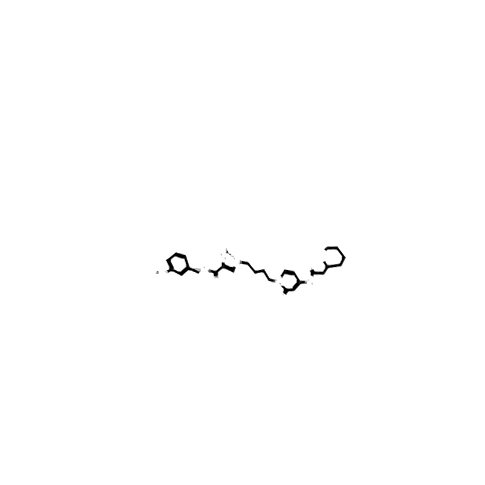 O=C(CC1CCCCO1)Nc1ccn(CCCCn2cc(C(=O)NCc3cccc(OC(F)(F)F)c3)nn2)c(=O)c1